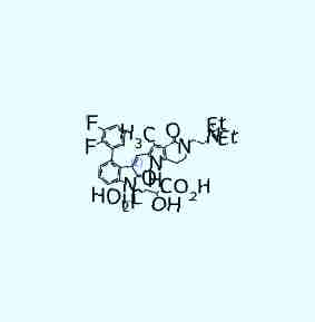 CCN(CC)CCN1CCc2[nH]c(/C=C3\C(=O)Nc4cccc(-c5cccc(F)c5F)c43)c(C)c2C1=O.O=C(O)CC(O)C(=O)O